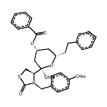 COc1ccc(CN2C(=O)SC[C@H]2[C@@]2(OC)C[C@H](OC(=O)c3ccccc3)C[C@H](CCc3ccccc3)O2)cc1